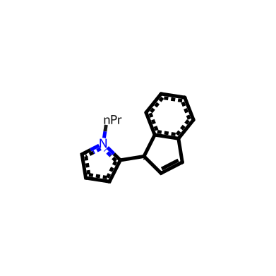 CCCn1cccc1[C]1C=Cc2ccccc21